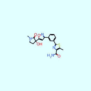 Cc1sc(-c2cccc(-c3cc(C4(O)CCN(C)C4=O)on3)c2)nc1C(N)=O